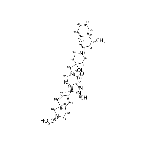 CC(CC(=O)N1CCC(O)(Cn2cnc3c(-c4ccc5c(c4)CCN(C(=O)O)C5)n(C)nc3c2=O)CC1)c1ccccc1